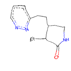 CCC1C(=O)NCC1Cc1cccnn1